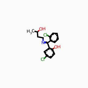 CC(O)CCN=C(c1cc(Cl)ccc1O)c1ccccc1Cl